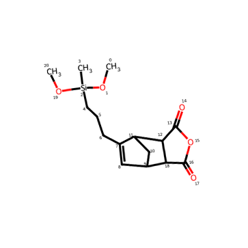 CO[Si](C)(CCCC1=CC2CC1C1C(=O)OC(=O)C21)OC